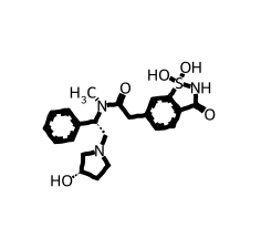 CN(C(=O)Cc1ccc2c(c1)S(O)(O)NC2=O)[C@H](CN1CC[C@H](O)C1)c1ccccc1